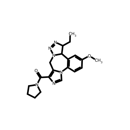 CCC1N=NN2Cc3c(C(=O)N4CCCC4)ncn3-c3ccc(OC)cc3C12